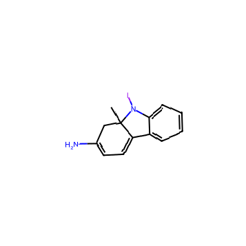 CC12CC(N)=CC=C1c1ccccc1N2I